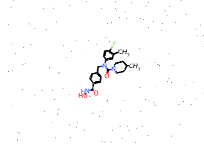 Cc1cc(N(Cc2ccc(C(=O)NO)cc2)C(=O)N2CCC(C)CC2)ccc1F